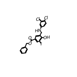 O=C(OCc1ccccc1)c1cc(I)c(O)c(CNc2ccc(Cl)c(Cl)c2)c1